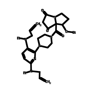 C=CCN(CC)c1ccc(N(CC)CC=C)c(N2CCN(C(=O)C34C(=O)CC(=O)N3CCC4OCC)CC2)n1